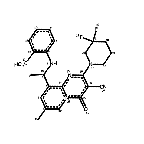 Cc1cc([C@@H](C)Nc2ccccc2C(=O)O)c2nc(N3CCCC(F)(F)C3)c(C#N)c(=O)n2c1